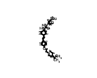 CN(C)C1CCN(CCOc2c#cc(C#Cc3ccc(NC(=O)Nc4cc(C(C)(C)C)on4)cc3)cc2)CC1